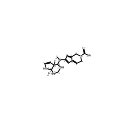 CC(C)C(=O)N1CC=C2C=C(N(C)C3NCN[C@H]4NC=C[C@H]34)C=C2C1